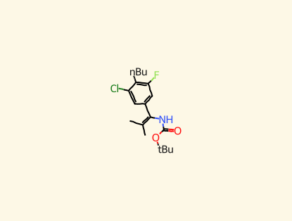 CCCCc1c(F)cc(C(NC(=O)OC(C)(C)C)=C(C)C)cc1Cl